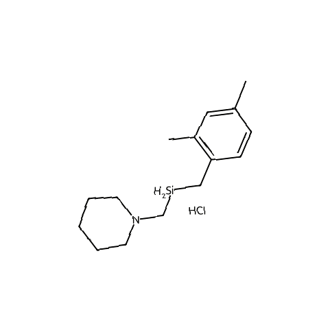 Cc1ccc(C[SiH2]CN2CCCCC2)c(C)c1.Cl